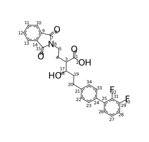 O=C(O)C(CCN1C(=O)c2ccccc2C1=O)C(O)CCc1ccc(-c2cccc(F)c2F)cc1